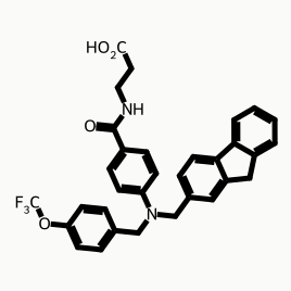 O=C(O)CCNC(=O)c1ccc(N(Cc2ccc(OC(F)(F)F)cc2)Cc2ccc3c(c2)Cc2ccccc2-3)cc1